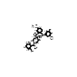 Cc1cc(Cl)cc(Sc2ccc(C#N)cc2S(=O)(=O)N2CCN(C(=O)c3ccccc3C)CC2)c1